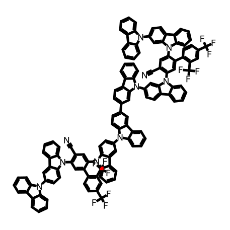 N#Cc1cc(-n2c3ccccc3c3cc(-n4c5ccccc5c5cc(-c6ccc7c8ccccc8n(-c8ccc9c%10ccccc%10n(-c%10cc(-c%11ccc(C(F)(F)F)cc%11C(F)(F)F)c(-n%11c%12ccccc%12c%12ccc(-n%13c%14ccccc%14c%14ccccc%14%13)cc%12%11)cc%10C#N)c9c8)c7c6)ccc54)ccc32)c(-c2ccc(C(F)(F)F)cc2C(F)(F)F)cc1-n1c2ccccc2c2cc(-n3c4ccccc4c4ccccc43)ccc21